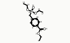 CCOC(=O)c1ccc(CP(=O)(OCC)OCC)cc1